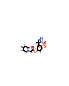 CC1(C)NS(=O)(=O)C2C3CC(OC(=O)CN4CCCCC4)C(O3)C21